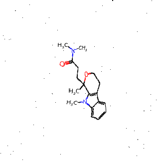 CN(C)C(=O)CCC1(C)OCCc2c1n(C)c1ccccc21